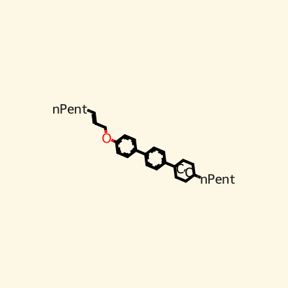 CCCCC/C=C/COc1ccc(-c2ccc(C34CCC(CCCCC)(CC3)CC4)cc2)cc1